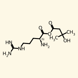 CC(C)(O)CC(=O)OC(=O)[C@@H](N)CCCNC(=N)N